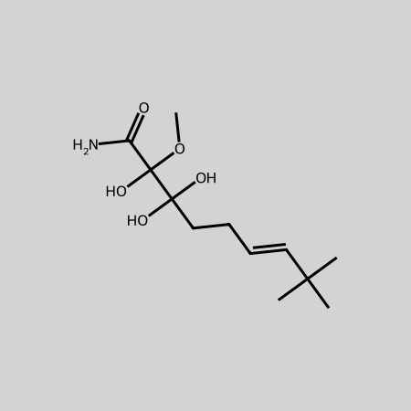 COC(O)(C(N)=O)C(O)(O)CCC=CC(C)(C)C